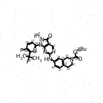 CC(C)n1c(=O)c2cnc(Nc3ccc4c(c3)CN(C(=O)OC(C)(C)C)CC4)nc2n1-c1ccc(F)c(C(C)(C)F)n1